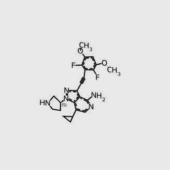 COc1cc(OC)c(F)c(C#Cc2nn([C@H]3CCNC3)c3c(C4CC4)cnc(N)c23)c1F